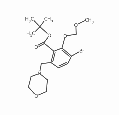 COCOc1c(Br)ccc(CN2CCOCC2)c1C(=O)OC(C)(C)C